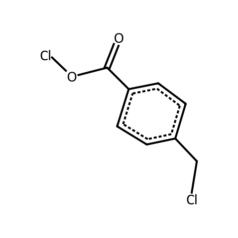 O=C(OCl)c1ccc(CCl)cc1